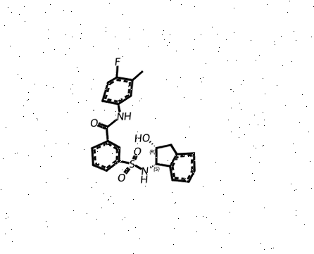 Cc1cc(NC(=O)c2cccc(S(=O)(=O)N[C@H]3c4ccccc4C[C@H]3O)c2)ccc1F